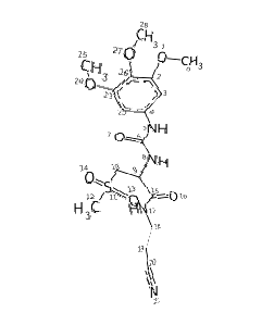 COc1cc(NC(=O)NC(CS(C)(=O)=O)C(=O)NCCC#N)cc(OC)c1OC